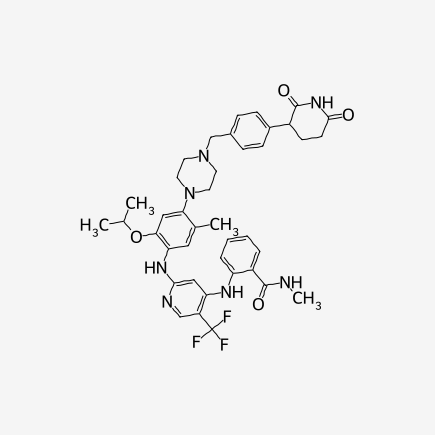 CNC(=O)c1ccccc1Nc1cc(Nc2cc(C)c(N3CCN(Cc4ccc(C5CCC(=O)NC5=O)cc4)CC3)cc2OC(C)C)ncc1C(F)(F)F